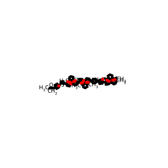 C=C(C)C(=O)Cc1ccc(-c2ccc(-c3ccc4c(c3)C3(c5cc(-c6ccc7c(c6)C6(c8cc(-c9ccc(-c%10ccc(-c%11ccc%12c(c%11)C%11(c%13cc(C)ccc%13-%12)C%12(CCC)CCCC%11(CCC)CCC%12)cc%10)cc9)ccc8-7)C7(CC)CCCC6(CC)CCC7)ccc5-4)C4(C)CCCC3(C)CCC4)s2)cc1